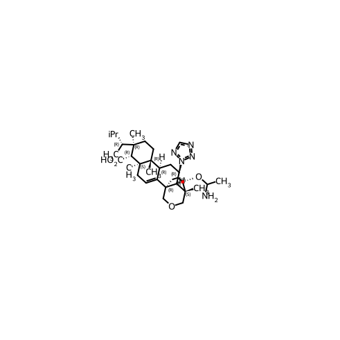 CC(N)O[C@H]1[C@H](n2ncnn2)C[C@@]23COC[C@]1(C)[C@@H]2CC[C@H]1C3=CC[C@@]2(C)[C@H](C(=O)O)[C@@](C)([C@H](C)C(C)C)CC[C@]12C